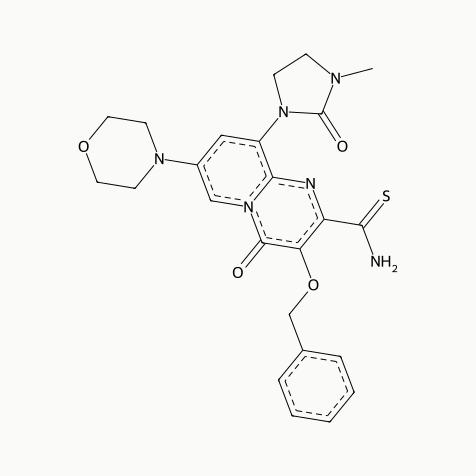 CN1CCN(c2cc(N3CCOCC3)cn3c(=O)c(OCc4ccccc4)c(C(N)=S)nc23)C1=O